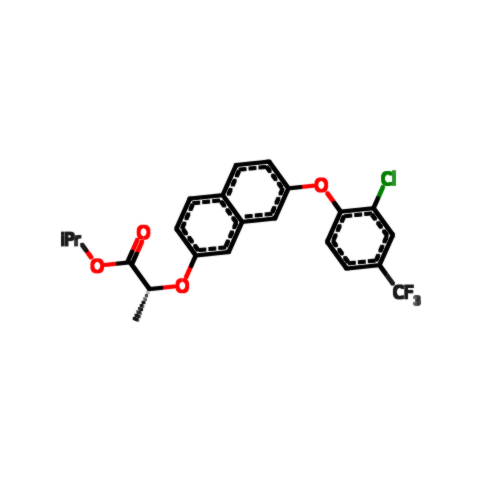 CC(C)OC(=O)[C@@H](C)Oc1ccc2ccc(Oc3ccc(C(F)(F)F)cc3Cl)cc2c1